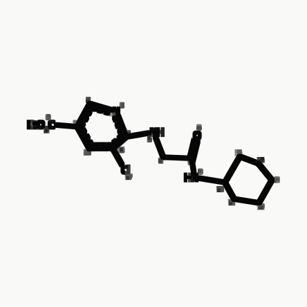 CCOC(=O)c1cnc(NCC(=O)NC2CCCCC2)c(Cl)c1